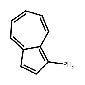 Pc1ccc2cccccc1-2